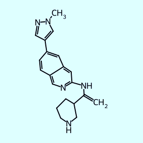 C=C(Nc1cc2cc(-c3cnn(C)c3)ccc2cn1)C1CCCNC1